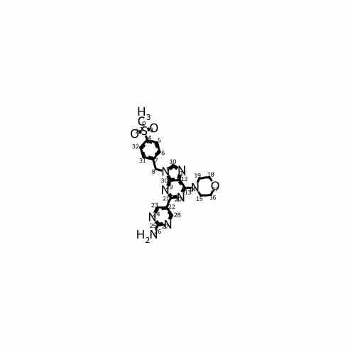 CS(=O)(=O)c1ccc(Cn2cnc3c(N4CCOCC4)nc(-c4cnc(N)nc4)nc32)cc1